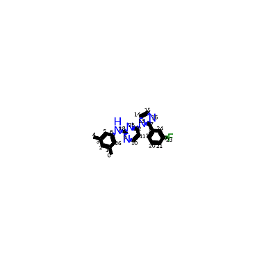 Cc1cc(C)cc(Nc2nccc(-n3ccnc3-c3cccc(F)c3)n2)c1